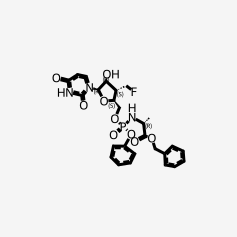 C[C@@H](NP(=O)(OC[C@H]1O[C@@H](n2ccc(=O)[nH]c2=O)[C@H](O)[C@@H]1CF)Oc1ccccc1)C(=O)OCc1ccccc1